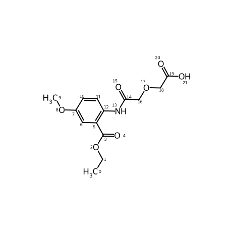 CCOC(=O)c1cc(OC)ccc1NC(=O)COCC(=O)O